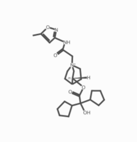 Cc1cc(NC(=O)C[N+]23CCC(CC2)[C@@H](OC(=O)C(O)(C2CCCC2)C2CCCC2)C3)no1